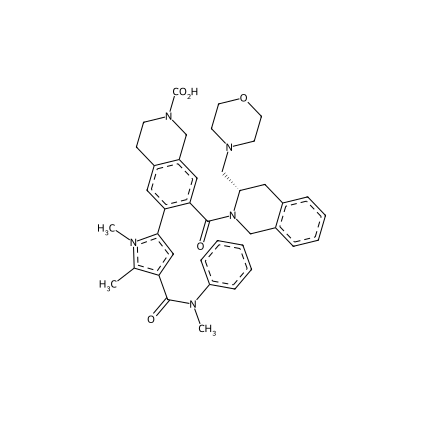 Cc1c(C(=O)N(C)c2ccccc2)cc(-c2cc3c(cc2C(=O)N2Cc4ccccc4C[C@H]2CN2CCOCC2)CN(C(=O)O)CC3)n1C